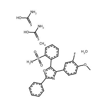 C.COc1ccc(-c2nc(-c3ccccc3)oc2-c2ccccc2S(N)(=O)=O)cc1F.NC(O)=S.NC(O)=S.O